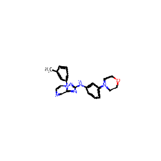 Cc1cccc([N+]23C=CN=CC2=NC(Nc2cccc(N4CCOCC4)c2)=N3)c1